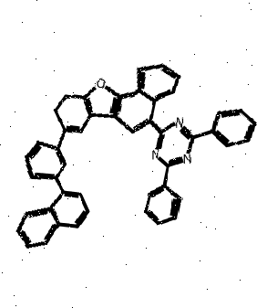 C1=C(c2cccc(-c3cccc4ccccc34)c2)CCc2oc3c(cc(-c4nc(-c5ccccc5)nc(-c5ccccc5)n4)c4ccccc43)c21